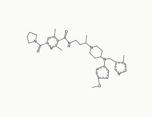 COc1ccc(N(Cc2cnccc2C)C2CCN(C(C)CCNC(=O)c3c(C)cc(C(=O)N4CCCC4)nc3C)CC2)cc1